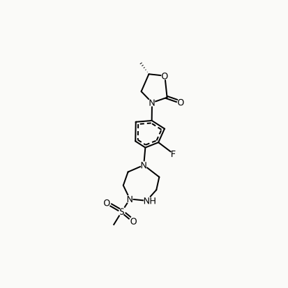 C[C@H]1CN(c2ccc(N3CCNN(S(C)(=O)=O)CC3)c(F)c2)C(=O)O1